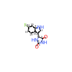 O=C1NC(=O)C(c2c[nH]c3cc(F)ccc23)N1